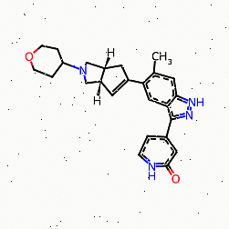 Cc1cc2[nH]nc(-c3cc[nH]c(=O)c3)c2cc1C1=C[C@@H]2CN(C3CCOCC3)C[C@@H]2C1